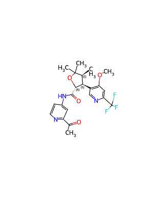 COc1cc(C(F)(F)F)ncc1[C@H]1[C@H](C(=O)Nc2ccnc(C(C)=O)c2)OC(C)(C)[C@H]1C